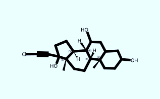 C[C@]12CCC(O)CC1CC(O)[C@@H]1[C@H]2CC[C@@]2(C)[C@H]1CCC2(O)C#CCl